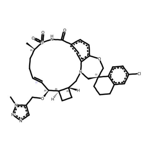 C[C@@H]1CC/C=C/[C@H](OCc2cnnn2C)[C@@H]2CC[C@H]2CN2C[C@@]3(CCCc4cc(Cl)ccc43)COc3ccc(cc32)C(=O)NS1(=O)=O